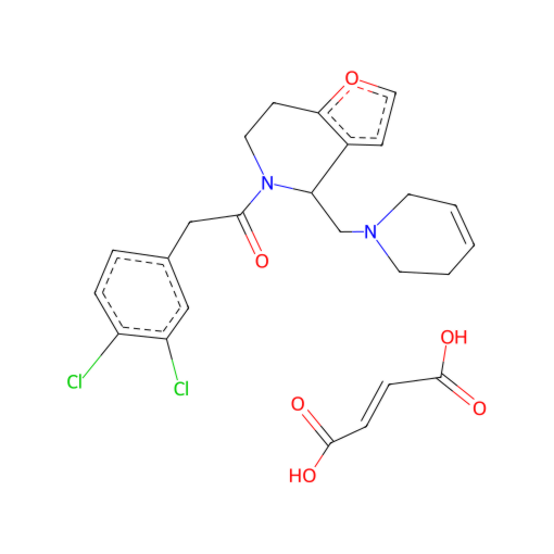 O=C(Cc1ccc(Cl)c(Cl)c1)N1CCc2occc2C1CN1CC=CCC1.O=C(O)C=CC(=O)O